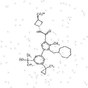 Cn1c(C(=O)N[C@H]2C[C@H](C(=O)O)C2)cc(-c2cc(C(C)(C)O)cc(C3(C)CC3)c2)c1CC1CCCCCC1